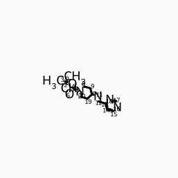 CC(C)(C)OC(=O)N1CCC(N=Cc2ccncn2)CC1